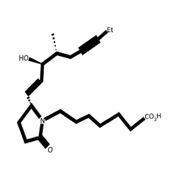 CCC#CC[C@@H](C)[C@H](O)C=C[C@H]1CCC(=O)N1CCCCCCC(=O)O